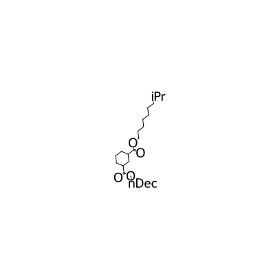 CCCCCCCCCCOC(=O)C1CCCC(C(=O)OCCCCCCCC(C)C)C1